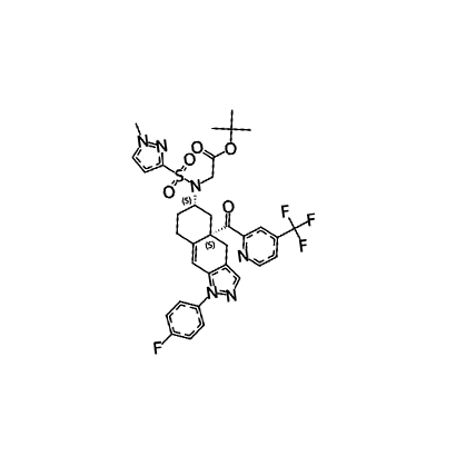 Cn1ccc(S(=O)(=O)N(CC(=O)OC(C)(C)C)[C@H]2CCC3=Cc4c(cnn4-c4ccc(F)cc4)C[C@]3(C(=O)c3cc(C(F)(F)F)ccn3)C2)n1